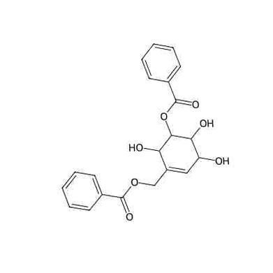 O=C(OCC1=CC(O)C(O)C(OC(=O)c2ccccc2)C1O)c1ccccc1